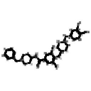 O=C(NC1CCN(Cc2ccccc2)CC1)c1cc(Cl)c(OC2CCN(Cc3ccc(F)c(F)c3)CC2)c(Cl)c1